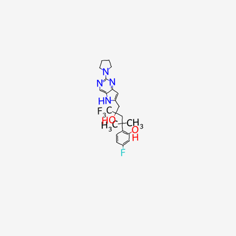 CC(C)(CC(O)(Cc1cc2nc(N3CCCC3)ncc2[nH]1)C(F)(F)F)c1ccc(F)cc1O